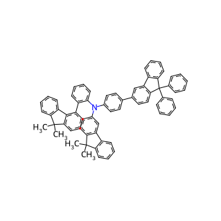 CC1(C)c2ccccc2-c2cc(N(c3ccc(-c4ccc5c(c4)-c4ccccc4C5(c4ccccc4)c4ccccc4)cc3)c3ccccc3-c3cccc4c3-c3ccccc3C4(C)C)ccc21